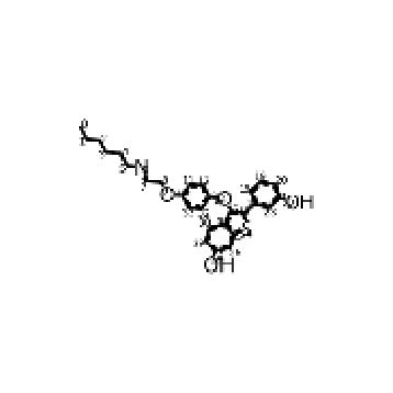 CCCCCCN=CCOc1ccc(Oc2c(-c3cccc(O)c3)sc3cc(O)ccc23)cc1